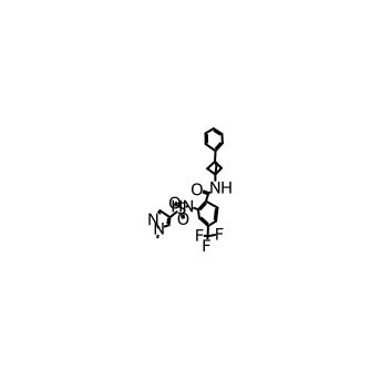 Cn1cc(S(=O)(=O)Nc2cc(C(F)(F)F)ccc2C(=O)NC23CC(c4ccccc4)(C2)C3)cn1